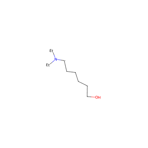 CCN([CH]CCCCCO)CC